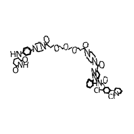 O=C1CCC(Nc2ccc(N3CCN(C(=O)CCOCCOCCOCCC(=O)N4CCN(C(=O)c5cc(NC(=O)c6cc(-c7ccccn7)c(Cl)cc6Cl)n(-c6ccccc6)n5)CC4)CC3)cc2)C(=O)N1